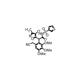 COc1cc(CC#N)c(C(C(=O)NS(=O)(=O)c2ccsc2)c2onc(C)c2Cl)c(OC)c1OC